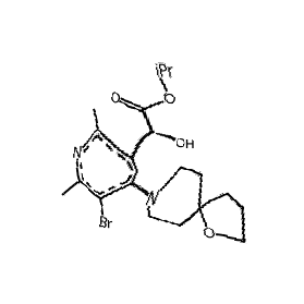 Cc1nc(C)c([C@H](O)C(=O)OC(C)C)c(N2CCC3(CCCO3)CC2)c1Br